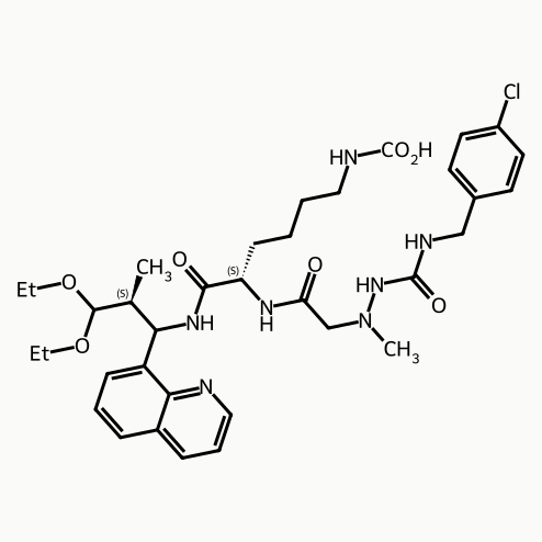 CCOC(OCC)[C@@H](C)C(NC(=O)[C@H](CCCCNC(=O)O)NC(=O)CN(C)NC(=O)NCc1ccc(Cl)cc1)c1cccc2cccnc12